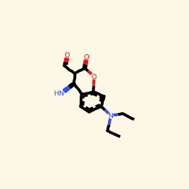 CCN(CC)c1ccc2c(c1)OC(=O)C(C=O)C2=N